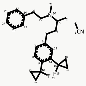 CC#N.CC(CCc1ccc(C2(F)CC2)c(C2(F)CC2)c1)N(C)CCc1ccccc1